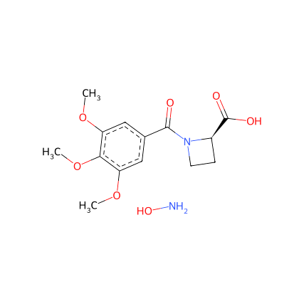 COc1cc(C(=O)N2CC[C@@H]2C(=O)O)cc(OC)c1OC.NO